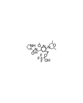 COc1nc(N2CC(C)OC(C)C2)c(F)cc1CNC(=O)[C@@H]1CCCN1.O=C(O)C(F)(F)F